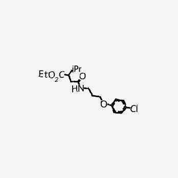 CCOC(=O)C(CC(=O)NCCCOc1ccc(Cl)cc1)C(C)C